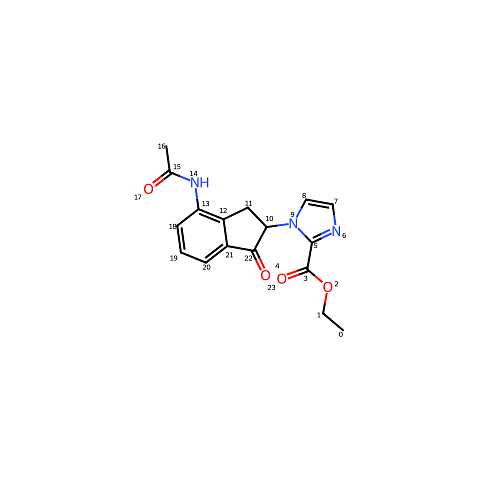 CCOC(=O)c1nccn1C1Cc2c(NC(C)=O)cccc2C1=O